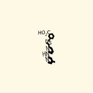 Cc1ccnc(Nc2cccc(-c3cnc(C4CCCC(C(=O)O)C4)s3)n2)c1